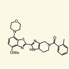 COc1ccc(N2CCOCC2)c2sc(-c3nc4c([nH]3)CCN(C(=O)c3ccccc3C)C4)nc12